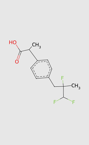 CC(C(=O)O)c1ccc(CC(C)(F)C(F)F)cc1